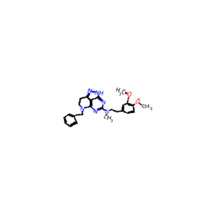 COc1ccc(CCN(C)c2nc3c4c(n[nH]c4n2)CCN3Cc2ccccc2)cc1OC